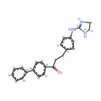 O=C(CCc1ccc(NC2=NCCN2)cc1)c1ccc(-c2ccccc2)cc1